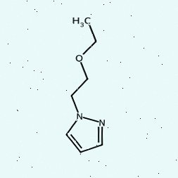 CCOCCn1c[c]cn1